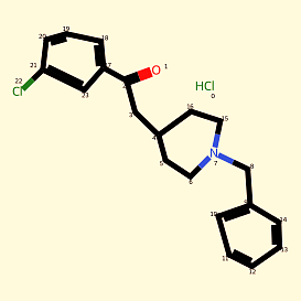 Cl.O=C(CC1CCN(Cc2ccccc2)CC1)c1cccc(Cl)c1